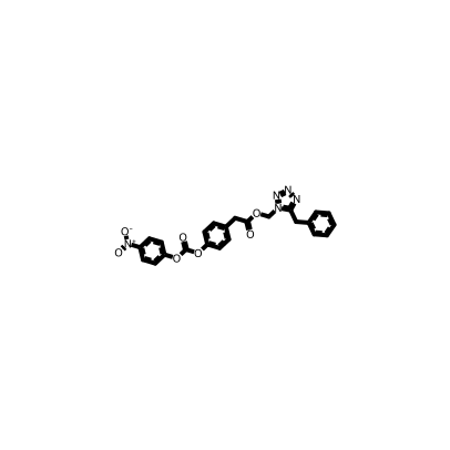 O=C(Cc1ccc(OC(=O)Oc2ccc([N+](=O)[O-])cc2)cc1)OCn1nnnc1Cc1ccccc1